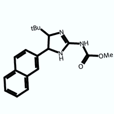 COC(=O)NC1=NC(C(C)(C)C)C(c2ccc3ccccc3c2)N1